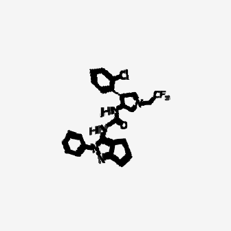 O=C(Nc1c2c(nn1-c1ccccc1)CCC2)NC1CN(CC(F)(F)F)C[C@H]1c1ccccc1Cl